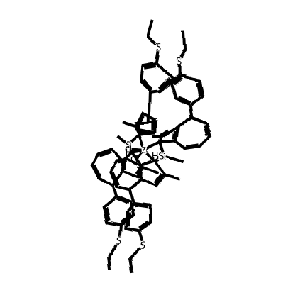 CCSc1ccc(C2C=CC=CC3=C2C=C(C)[C]32[SiH](C)[C]3(C(C)=CC4=C3C=CC=CC4c3ccc(SCC)cc3)[Zr]23([Cl])([Cl])[C]2(C(C)=CC4=C2C=CC=CC4c2ccc(SCC)cc2)[SiH](C)[C]32C(C)=CC3=C2C=CC=CC3c2ccc(SCC)cc2)cc1